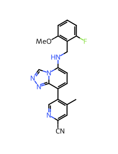 COc1cccc(F)c1CNc1ccc(-c2cnc(C#N)cc2C)c2nncn12